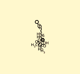 CC1=C(C(=O)O)N(c2cccc(NC(=S)NCCCN3CCN(C4CCCCC4)CC3)c2)C(C(=O)O)=C(C)N1